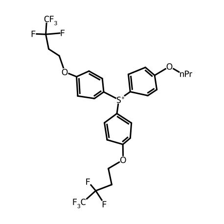 CCCOc1ccc([S+](c2ccc(OCCC(F)(F)C(F)(F)F)cc2)c2ccc(OCCC(F)(F)C(F)(F)F)cc2)cc1